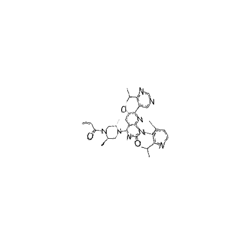 C=CC(=O)N1C[C@H](C)N(c2nc(=O)n(-c3c(C)ccnc3C(C)C)c3nc(-c4cncnc4C(C)C)c(Cl)cc23)C[C@H]1C